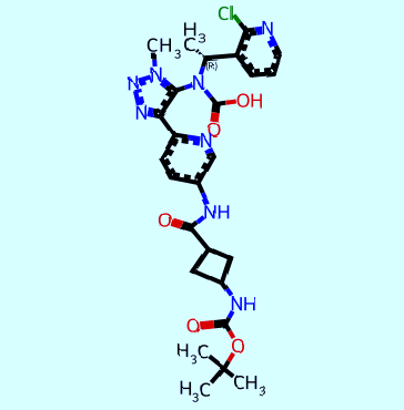 C[C@H](c1cccnc1Cl)N(C(=O)O)c1c(-c2ccc(NC(=O)C3CC(NC(=O)OC(C)(C)C)C3)cn2)nnn1C